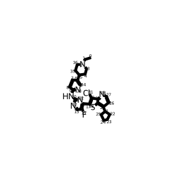 CCN1CCC(c2ccc(Nc3ncc(F)c(-c4sc5c(C6CCCC6)ccnc5c4Cl)n3)nc2)CC1